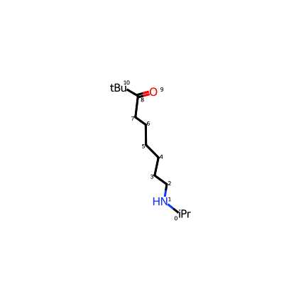 CC(C)NCCCCCCC(=O)C(C)(C)C